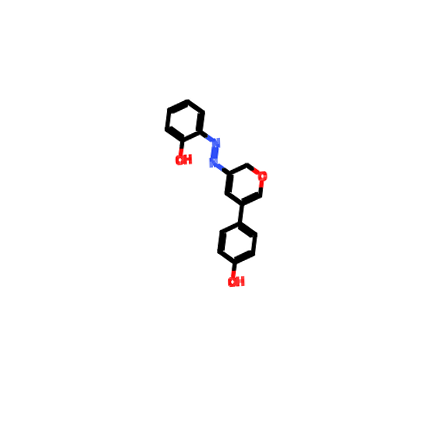 Oc1ccc(C2=COCC(N=Nc3ccccc3O)=C2)cc1